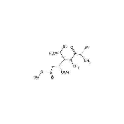 C=C(CC)[C@@H]([C@@H](CC(=O)OC(C)(C)C)OC)N(C)C(=O)[C@@H](N)C(C)C